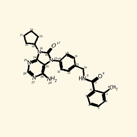 Cc1ccccc1C(=O)NCc1ccc(-n2c(=O)n(C3CCCC3)c3ncnc(N)c32)cc1